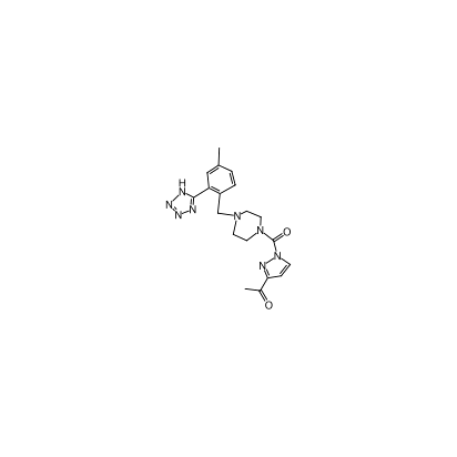 CC(=O)c1ccn(C(=O)N2CCN(Cc3ccc(C)cc3-c3nnn[nH]3)CC2)n1